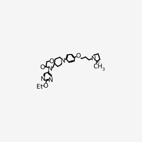 CCOc1ncc(N2CC3(CCN(c4ccc(OCCCN5CCC[C@H]5C)cc4)CC3)OCC2=O)cn1